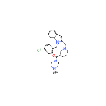 CCCN1CCN(C(=O)C2CCCN(Cc3cc4ccccc4n3Cc3ccc(Cl)cc3)C2)CC1